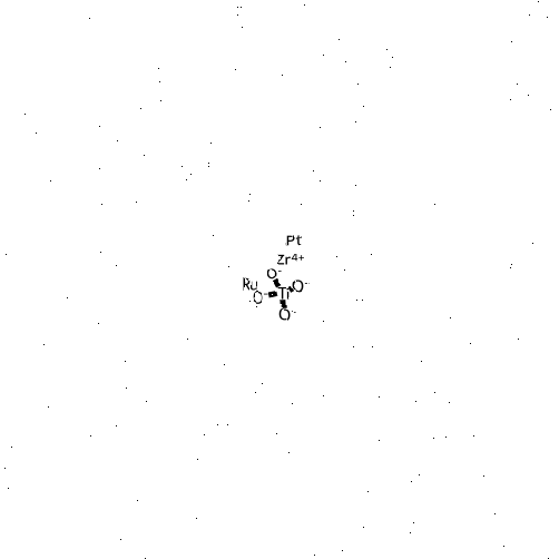 [O-][Ti]([O-])([O-])[O-].[Pt].[Ru].[Zr+4]